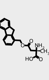 C[C@](N)(CC(=O)OCc1cccc2c1Cc1ccccc1-2)C(=O)O